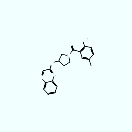 COc1ccc(C)cc1C(=O)N1CCC(Nc2cnc3ccccc3n2)C1